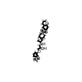 CS(=O)(=O)c1cccc(OC[C@@H](O)CNC2COC3(CCN(S(=O)(=O)c4ccc5c(c4)CCCO5)CC3)C2)c1